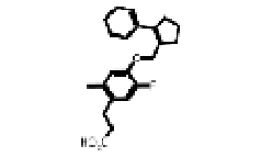 Cc1cc(OCC2=C(C3=CCCCC3)CCC2)c(F)cc1CCC(=O)O